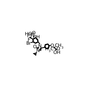 CC(C)(Oc1ccc(-c2cn(C3CC3)c(=O)n2Cc2ccc(C(F)(F)P(=O)(O)O)c(Br)c2)cc1)C(=O)O